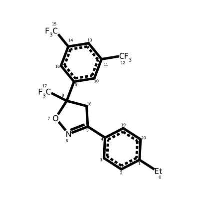 CCc1ccc(C2=NOC(c3cc(C(F)(F)F)cc(C(F)(F)F)c3)(C(F)(F)F)C2)cc1